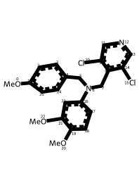 COc1ccc(CN(Cc2c(Cl)cncc2Cl)c2ccc(OC)c(OC)c2)cc1